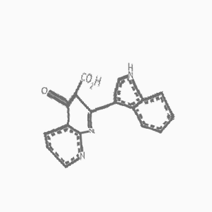 O=C(O)C1C(=O)c2cccnc2N=C1c1c[nH]c2ccccc12